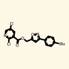 CC(C)(C)c1ccc(-c2cc(COC(=O)c3cc(Cl)cnc3Cl)on2)cc1